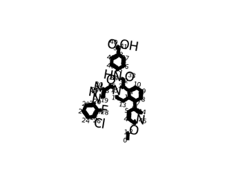 CCOc1ccc(-c2cccc3c2CCN(C(=O)c2cn(-c4cccc(Cl)c4F)nn2)C3C(=O)Nc2ccc(C(=O)O)cc2)cn1